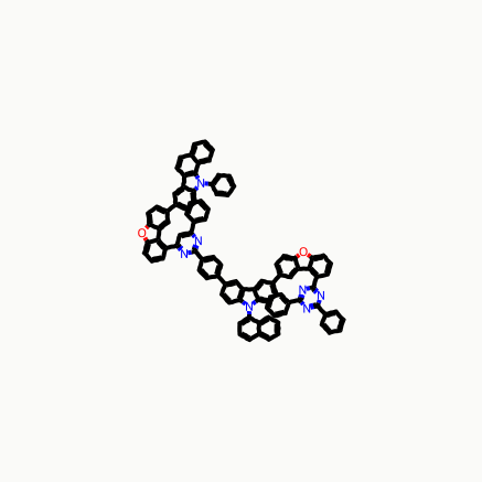 c1ccc(-c2cc(-c3cccc4oc5ccc(-c6ccc7c(c6)c6ccc8ccccc8c6n7-c6ccccc6)cc5c34)nc(-c3ccc(-c4ccc5c(c4)c4cc(-c6ccc7oc8cccc(-c9nc(-c%10ccccc%10)nc(-c%10ccccc%10)n9)c8c7c6)ccc4n5-c4cccc5ccccc45)cc3)n2)cc1